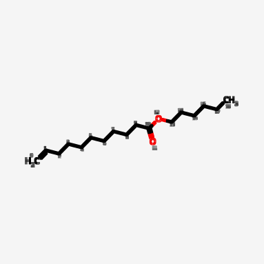 C=CCCCCCCCCC(=O)OCCCCCC